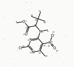 COC(=O)C(N(C)c1nc(Cl)nc(C)c1[N+](=O)[O-])C(C)(C)C